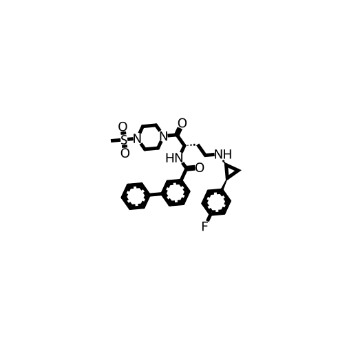 CS(=O)(=O)N1CCN(C(=O)[C@H](CCN[C@@H]2C[C@H]2c2ccc(F)cc2)NC(=O)c2cccc(-c3ccccc3)c2)CC1